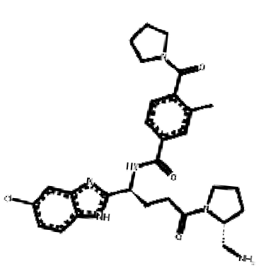 Cc1cc(C(=O)N[C@@H](CCC(=O)N2CCC[C@@H]2CN)c2nc3cc(Cl)ccc3[nH]2)ccc1C(=O)N1CCCC1